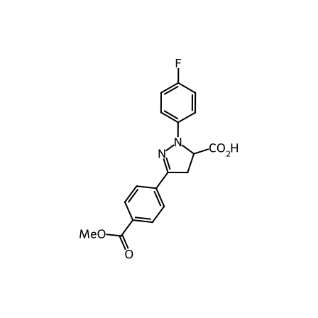 COC(=O)c1ccc(C2=NN(c3ccc(F)cc3)C(C(=O)O)C2)cc1